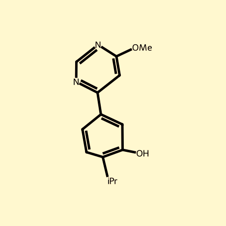 COc1cc(-c2ccc(C(C)C)c(O)c2)ncn1